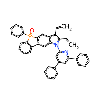 C=Cc1c(C=C)n(-c2cc(-c3ccccc3)cc(-c3ccccc3)n2)c2cc3c(cc12)P(=O)(c1ccccc1)c1ccccc1-3